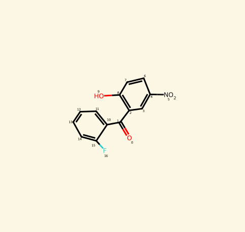 O=C(c1cc([N+](=O)[O-])ccc1O)c1ccccc1F